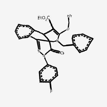 CCCOC1=C(C(=O)OCC)C(c2ccccc2)C2(C(=O)N(c3ccc(F)cc3)N=C2C)N1Cc1ccccc1